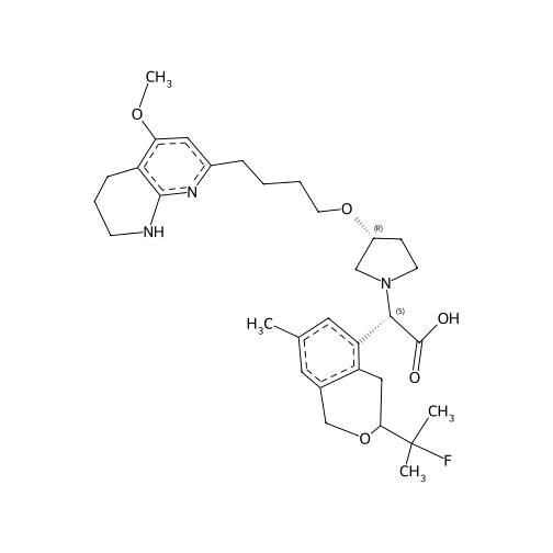 COc1cc(CCCCO[C@@H]2CCN([C@H](C(=O)O)c3cc(C)cc4c3CC(C(C)(C)F)OC4)C2)nc2c1CCCN2